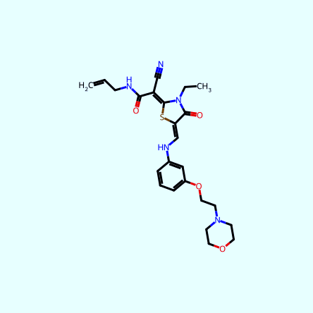 C=CCNC(=O)C(C#N)=c1sc(=CNc2cccc(OCCN3CCOCC3)c2)c(=O)n1CC